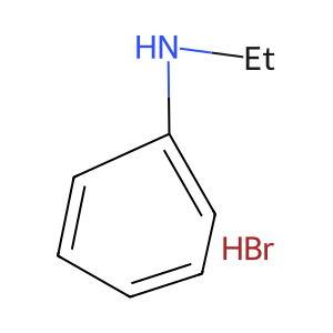 Br.CCNc1ccccc1